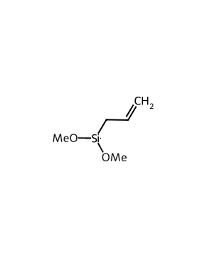 C=CC[Si](OC)OC